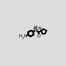 Nc1ccc(NC(=O)C2(N)CCCC2)cc1